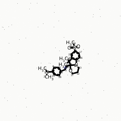 CN(C)c1ccc(/C=C/C23OCCCN2c2ccc(S(C)(=O)=O)cc2C3(C)C)cc1